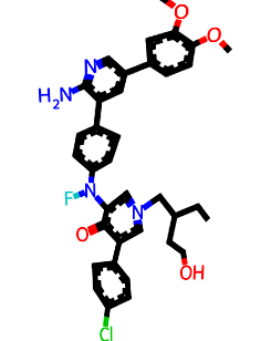 CCC(CCO)Cn1cc(-c2ccc(Cl)cc2)c(=O)c(N(F)c2ccc(-c3cc(-c4ccc(OC)c(OC)c4)cnc3N)cc2)c1